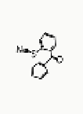 N#CSc1ccccc1C(=O)c1ccccc1